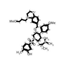 COCCCN1CCOc2ccc(CO[C@H]3CN(S(=O)(=O)c4ccc(C)c(O)c4)[C@@H](C[C@@H](C)N(C)C)C[C@@H]3c3ccc(OC)cc3)cc21